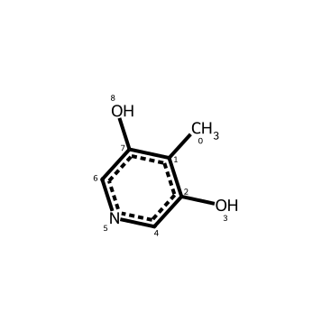 Cc1c(O)cncc1O